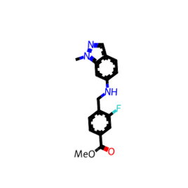 COC(=O)c1ccc(CNc2ccc3cnn(C)c3c2)c(F)c1